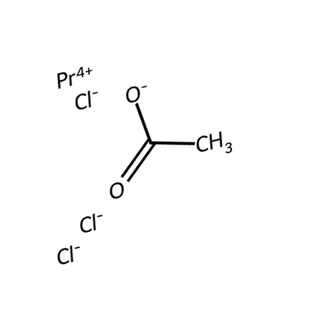 CC(=O)[O-].[Cl-].[Cl-].[Cl-].[Pr+4]